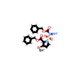 [NH-]N(C(=O)OCc1ccccc1)S(=O)(=O)n1ccc(Br)c1C(=O)OCc1ccccc1.[Na+]